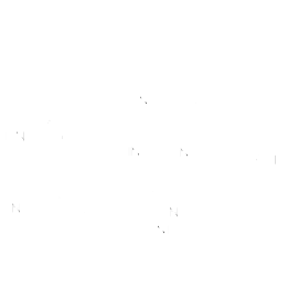 O=C(Cc1ccccc1)Nc1cncc(-c2ccc3[nH]nc(-c4nc5c(-c6cc(O)cc(F)c6)ccnc5[nH]4)c3c2)c1